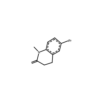 C=C1CCc2cc(C(C)C)ccc2N1C